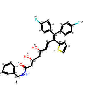 C[C@@H](NC(=O)C[C@@H](O)C[C@@H](O)/C=C/C(=C(c1ccc(F)cc1)c1ccc(F)cc1)c1cccs1)c1ccccc1